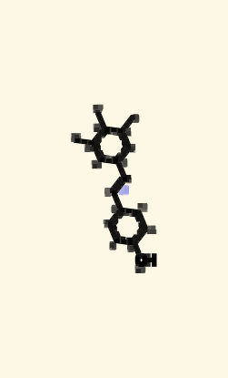 Cc1cc(/C=C/c2ccc(O)cc2)cc(C)c1C